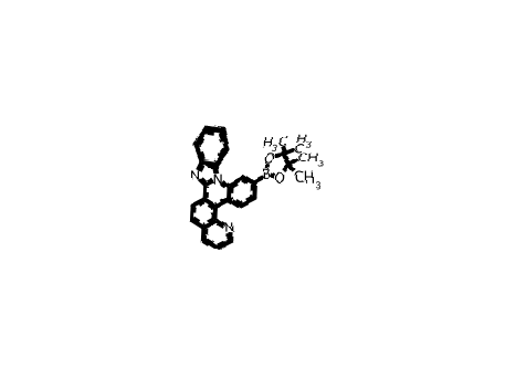 CC1(C)OB(c2ccc3c4c(ccc5cccnc54)c4nc5ccccc5n4c3c2)OC1(C)C